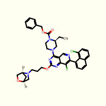 N#CC[C@H]1CN(c2nc(OCCCN3C[C@@H]4C[C@H]3CO4)nc3c(F)c(-c4cccc5cccc(Cl)c45)ncc23)CCN1C(=O)OCc1ccccc1